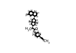 CC#Cc1ccc(NC(=O)C(C)[C@H]2C[C@H]3C[C@@H](c4ccnc5ccc(F)cc45)C[C@H]3C2)cn1